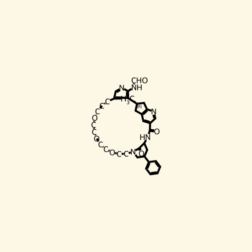 C[C@@]12Cc3cc(cnc3C1)C(=O)NC1CC(c3ccccc3)CN(CCOCCOCCOCCCc3cnc(NC=O)c2c3)C1=O